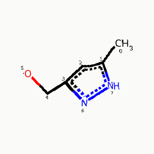 Cc1cc(C[O])n[nH]1